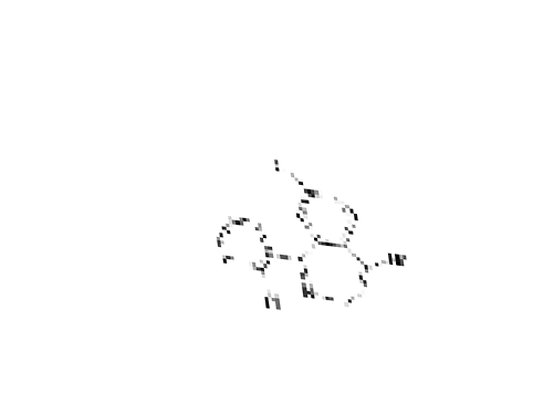 Clc1ccc2c(c1)C(c1ccccc1Cl)=NCC=C2Br